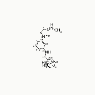 CNC1CCN(c2cnnc(NCC3CCC4CC3C4(C)C)c2)C1